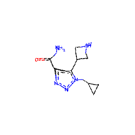 NC(=O)c1nnn(C2CC2)c1C1CNC1